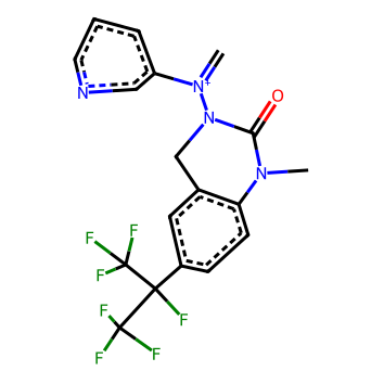 C=[N+](c1cccnc1)N1Cc2cc(C(F)(C(F)(F)F)C(F)(F)F)ccc2N(C)C1=O